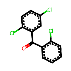 O=C(c1ccccc1Cl)c1cc(Cl)ccc1Cl